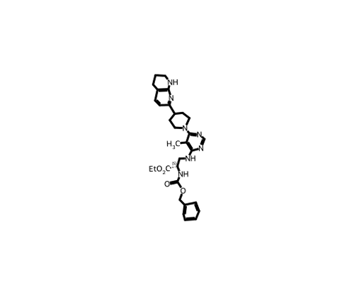 CCOC(=O)[C@H](CNc1ncnc(N2CCC(c3ccc4c(n3)NCCC4)CC2)c1C)NC(=O)OCc1ccccc1